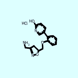 Cl.NCC1=NOC(COc2ccccc2-c2ccc(O)nc2)C1